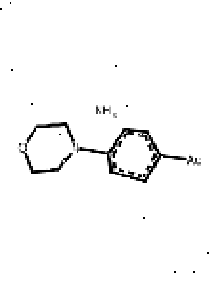 CC(=O)c1ccc(N2CCOCC2)cc1.N